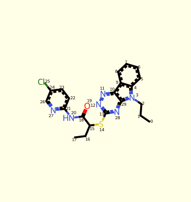 CCCn1c2ccccc2c2nnc(SC(CC)C(=O)Nc3ccc(Cl)cn3)nc21